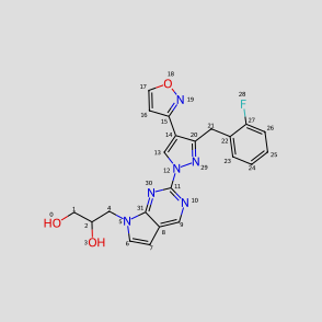 OCC(O)Cn1ccc2cnc(-n3cc(-c4ccon4)c(Cc4ccccc4F)n3)nc21